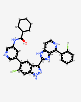 O=C(Nc1cncc(-c2cc3c(-c4nc5c(-c6ccccc6F)nccc5[nH]4)n[nH]c3cc2F)c1)C1CCCCC1